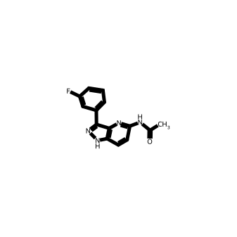 CC(=O)Nc1ccc2[nH]nc(-c3cccc(F)c3)c2n1